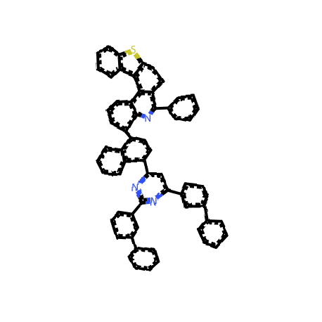 c1ccc(-c2cccc(-c3cc(-c4ccc(-c5cccc6c5nc(-c5ccccc5)c5ccc7sc8ccccc8c7c56)c5ccccc45)nc(-c4cccc(-c5ccccc5)c4)n3)c2)cc1